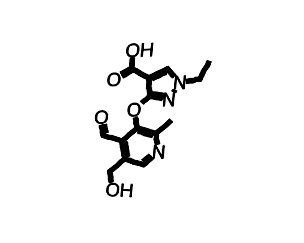 CCn1cc(C(=O)O)c(Oc2c(C)ncc(CO)c2C=O)n1